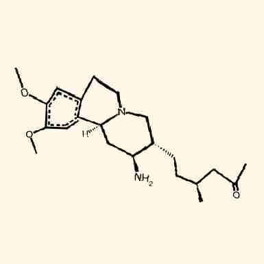 COc1cc2c(cc1OC)[C@@H]1C[C@H](N)[C@@H](CC[C@H](C)CC(C)=O)CN1CC2